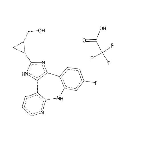 O=C(O)C(F)(F)F.OC[C@H]1CC1c1nc2c([nH]1)-c1cccnc1Nc1cc(F)ccc1-2